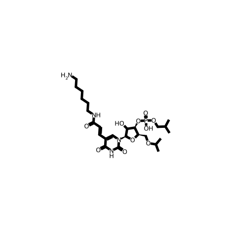 CC(C)COP(=O)(O)O[C@@H]1C(O)[C@H](n2cc(/C=C/C(=O)NCCCCCCN)c(=O)[nH]c2=O)O[C@@H]1COC(C)C